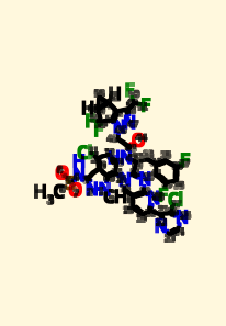 Cn1nc(NS(C)(=O)=O)c2c(Cl)ccc(N3Cc4ccc(-c5nccnc5Cl)nc4N=C3[C@H](Cc3cc(F)cc(F)c3)NC(=O)Cn3nc(C(F)F)c4c3C(F)(F)[C@@H]3C[C@H]43)c21